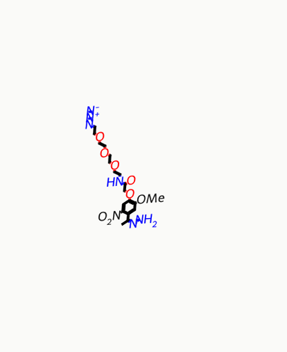 COc1cc(/C(C)=N\N)c([N+](=O)[O-])cc1OCC(=O)NCCOCCOCCOCCN=[N+]=[N-]